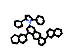 C1=CCC(c2ccc(-c3ccccc3)n2-c2cc(-c3ccc4c(c3)CCC=C4)c3cc4cccc(-c5ccc6ccccc6c5)c4cc3c2)C=C1